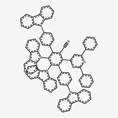 N#Cc1c(-c2cc(-c3ccccc3)nc(-c3ccccc3)n2)c(-c2ccc(-n3c4ccccc4c4ccccc43)cc2)c(-n2c3ccccc3c3cnccc32)c(-n2c3ccccc3c3cnccc32)c1-c1ccc(-n2c3ccccc3c3ccccc32)cc1